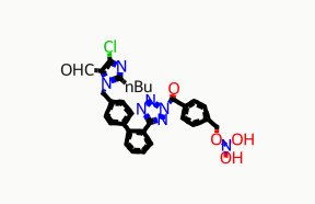 CCCCc1nc(Cl)c(C=O)n1Cc1ccc(-c2ccccc2-c2nnn(C(=O)c3ccc(CON(O)O)cc3)n2)cc1